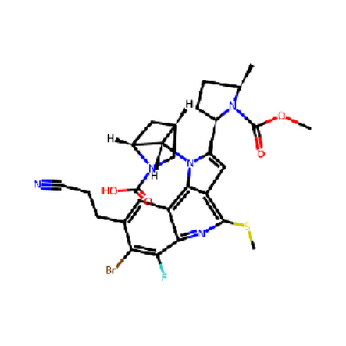 COC(=O)N1[C@H](C)CC[C@@H]1c1cc2c(SC)nc3c(F)c(Br)c(CCC#N)cc3c2n1[C@H]1[C@@H]2C[C@H]1N(C(=O)O)C2